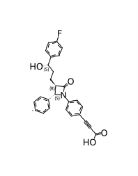 O=C(O)C#Cc1ccc(N2C(=O)[C@H](CC[C@H](O)c3ccc(F)cc3)[C@H]2c2cc[c]cc2)cc1